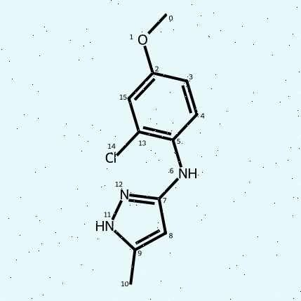 COc1ccc(Nc2cc(C)[nH]n2)c(Cl)c1